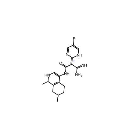 CC1NC=C(NC(=O)/C(C(=N)N)=C2\N=CC(F)=CN2)C2=C1CN(C)CC2